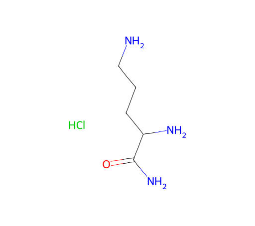 Cl.NCCCC(N)C(N)=O